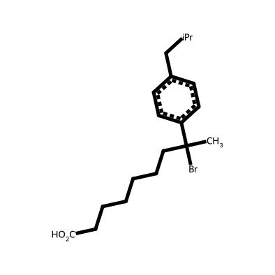 CC(C)Cc1ccc(C(C)(Br)CCCCCCC(=O)O)cc1